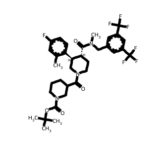 Cc1cc(F)ccc1[C@@H]1CN(C(=O)C2CCCN(C(=O)OC(C)(C)C)C2)CC[C@H]1C(=O)N(C)Cc1cc(C(F)(F)F)cc(C(F)(F)F)c1